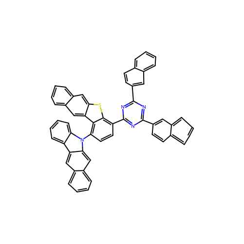 c1ccc2cc(-c3nc(-c4ccc5ccccc5c4)nc(-c4ccc(-n5c6ccccc6c6cc7ccccc7cc65)c5c4sc4cc6ccccc6cc45)n3)ccc2c1